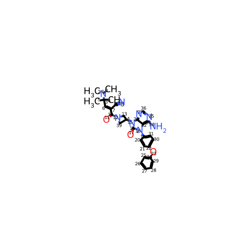 CN(C)C(C)(C)C=C(C#N)C(=O)N1CC(n2c(=O)n(-c3ccc(Oc4ccccc4)cc3)c3c(N)ncnc32)C1